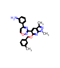 Cc1cccc(COc2nc3c(cc2C2=NOC=CC(c4cccc(N)c4)=N2)c(C)nn3C)c1